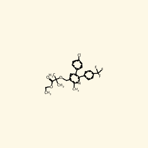 CCOC(=O)C(C)(C)OCc1cc(-c2ccc(Cl)cc2)c(-c2ccc(C(F)(F)F)cc2)nc1C